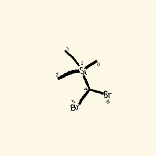 C[Si](C)(C)C(Br)Br